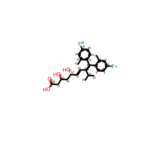 Cc1cc(F)ccc1C(=C(C=C[C@@H](O)CC(O)CC(=O)O)C(C)C)c1ccc(F)cc1C